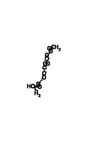 C=CC(=O)OCCOc1ccc(C(=O)Oc2ccc(-c3ccc(OCCCCOC(=O)C(=C)CO)cc3)cc2)cc1